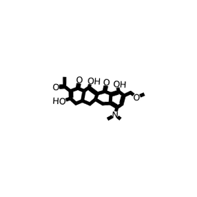 COCc1cc(N(C)C)c2c(c1O)C(=O)C1=C(O)C3C(=O)C(C(C)=O)=C(O)CC3CC1C2